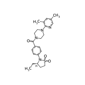 CC[C@@H]1CCS(=O)(=O)N1c1ccc(C(=O)N2CCN(c3ncc(C)cc3C)CC2)cc1